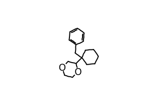 c1ccc(CC2(C3COCCO3)CCCCC2)cc1